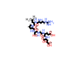 CC(C)CC(NC(=O)C(N)CCCNC(=N)N)C(=O)N1CCCC1C(=O)NC(CO)C(=O)NCC(=O)NC(CCC(=O)O)C(=O)NC(CCC(=O)O)C(=O)O